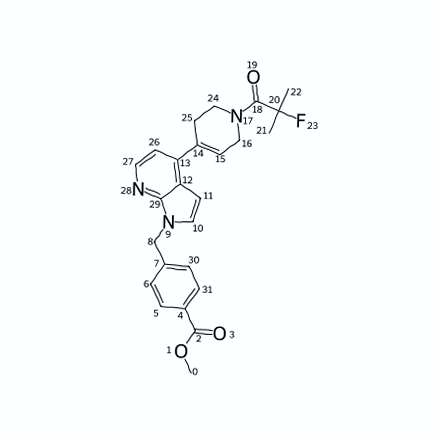 COC(=O)c1ccc(Cn2ccc3c(C4=CCN(C(=O)C(C)(C)F)CC4)ccnc32)cc1